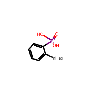 [CH2]CCCCCc1ccccc1P(=O)(O)O